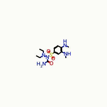 CCN(CC)N(C(N)=O)S(=O)(=O)c1ccc(NC)c(NC)c1